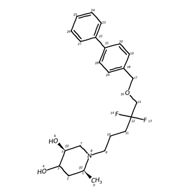 C[C@H]1CC(O)[C@@H](O)CN1CCCC(F)(F)COCc1ccc(-c2ccccc2)cc1